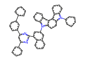 c1ccc(-c2cccc(-c3cc(-c4ccccc4)nc(-c4cc(-n5c6ccccc6c6c7c8ccccc8n(-c8ccccc8)c7ccc65)cc5ccccc45)n3)c2)cc1